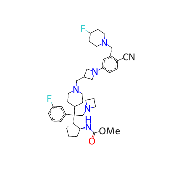 COC(=O)N[C@H]1CCC[C@@H]1[C@](CN1CCC1)(c1cccc(F)c1)C1CCN(CC2CN(c3ccc(C#N)c(CN4CCC(F)CC4)c3)C2)CC1